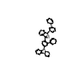 c1ccc(-c2cccc(-c3oc(-c4ccc(-n5c6ccccc6c6ccccc65)cc4-c4ccccc4)c4ccccc34)c2)cc1